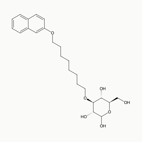 OC[C@H]1OC(O)[C@H](O)[C@@H](OCCCCCCCCOc2ccc3ccccc3c2)[C@@H]1O